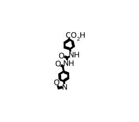 O=C(NC(=O)c1ccc2ncoc2c1)Nc1ccc(C(=O)O)cc1